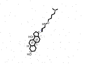 CN(C)CCCCONC/C=C/[C@H]1CC[C@]2(O)[C@@H]3CC[C@@H]4C[C@@H](O)CC[C@]4(C)[C@H]3CC[C@]12C